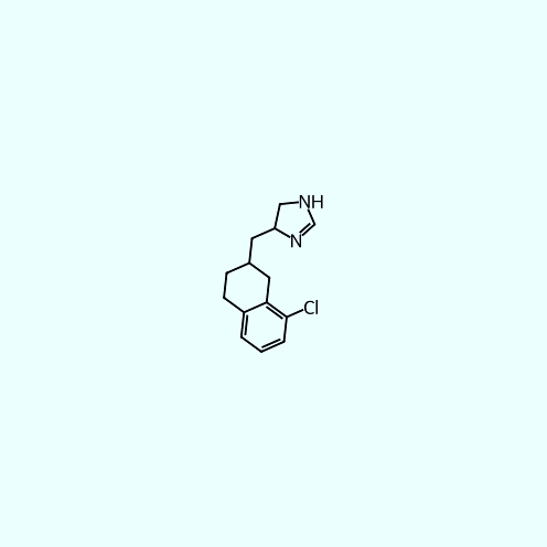 Clc1cccc2c1CC(CC1CNC=N1)CC2